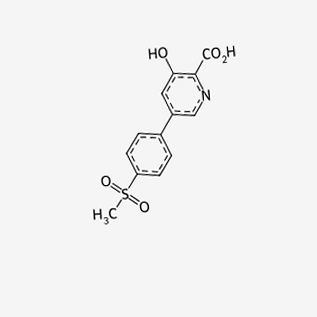 CS(=O)(=O)c1ccc(-c2cnc(C(=O)O)c(O)c2)cc1